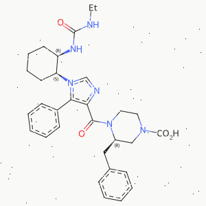 CCNC(=O)N[C@@H]1CCCC[C@@H]1n1cnc(C(=O)N2CCN(C(=O)O)C[C@H]2Cc2ccccc2)c1-c1ccccc1